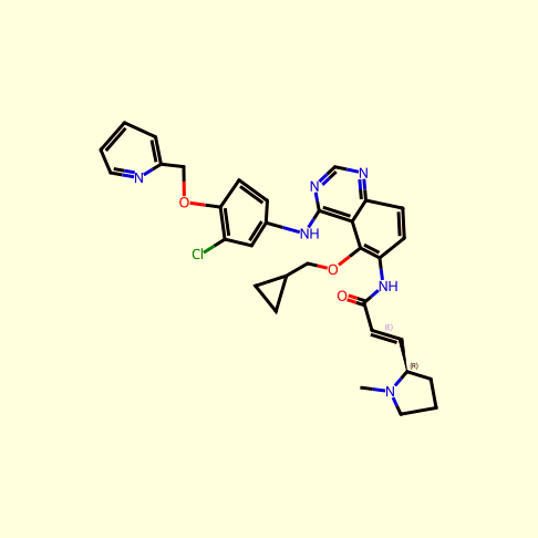 CN1CCC[C@@H]1/C=C/C(=O)Nc1ccc2ncnc(Nc3ccc(OCc4ccccn4)c(Cl)c3)c2c1OCC1CC1